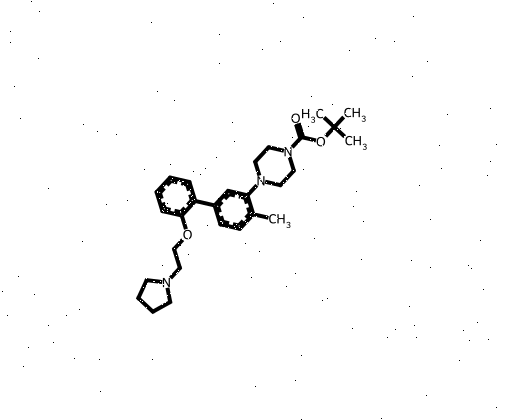 Cc1ccc(-c2ccccc2OCCN2CCCC2)cc1N1CCN(C(=O)OC(C)(C)C)CC1